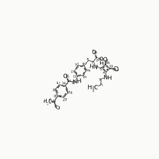 CCCNc1c(NC(Cc2ccc(NC(=O)c3ccc(C(C)=O)cc3)cc2)C(=O)O)c(=O)c1=O